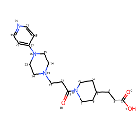 O=C(O)CCC1CCN(C(=O)CCN2CCN(c3ccncc3)CC2)CC1